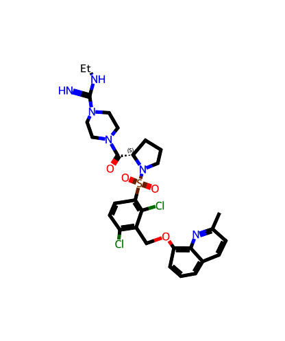 CCNC(=N)N1CCN(C(=O)[C@@H]2CCCN2S(=O)(=O)c2ccc(Cl)c(COc3cccc4ccc(C)nc34)c2Cl)CC1